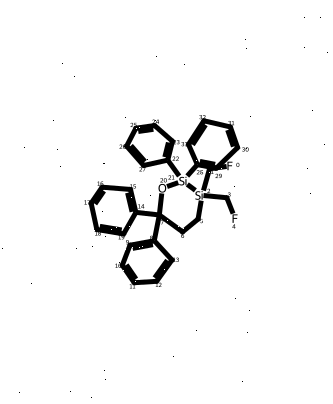 FC[Si]1(CF)CCC(c2ccccc2)(c2ccccc2)O[Si]1(c1ccccc1)c1ccccc1